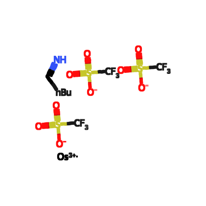 CCCCC=N.O=S(=O)([O-])C(F)(F)F.O=S(=O)([O-])C(F)(F)F.O=S(=O)([O-])C(F)(F)F.[Os+3]